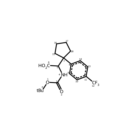 CC(C)(C)OC(=O)NC(C(=O)O)C1(c2ccc(C(F)(F)F)cc2)CCCC1